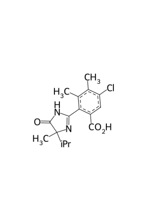 Cc1c(Cl)cc(C(=O)O)c(C2=NC(C)(C(C)C)C(=O)N2)c1C